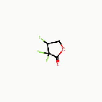 O=C1OCC(F)C1(F)F